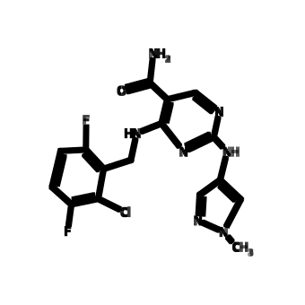 Cn1cc(Nc2ncc(C(N)=O)c(NCc3c(F)ccc(F)c3Cl)n2)cn1